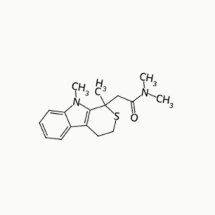 CN(C)C(=O)CC1(C)SCCc2c1n(C)c1ccccc21